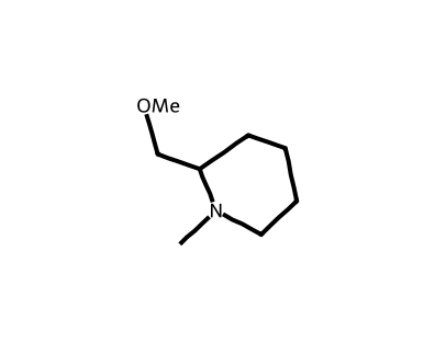 COCC1CCCCN1C